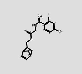 C=C(NCC(=O)OCC1CC2C=CC1C2)c1ccc(C(C)(C)C)cc1F